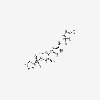 O=C1CN(S(=O)(=O)N2CCCC2)CCC1c1cc(SCc2ccc(Cl)s2)[nH]n1